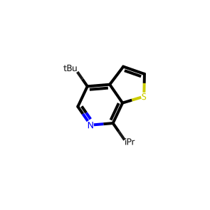 CC(C)c1ncc(C(C)(C)C)c2ccsc12